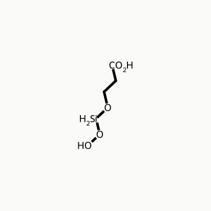 O=C(O)CCO[SiH2]OO